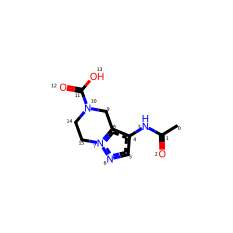 CC(=O)Nc1cnn2c1CN(C(=O)O)CC2